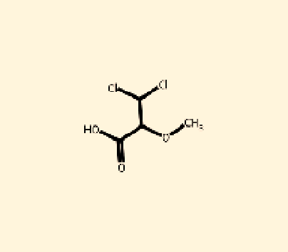 COC(C(=O)O)C(Cl)Cl